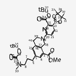 COC(=O)c1cc(CCCN(C)C(=O)OC(C)(C)C)cc2c1CN(c1ccc(B3OC(C)(C)C(C)(C)O3)c(C(=O)OC(C)(C)C)n1)CC2